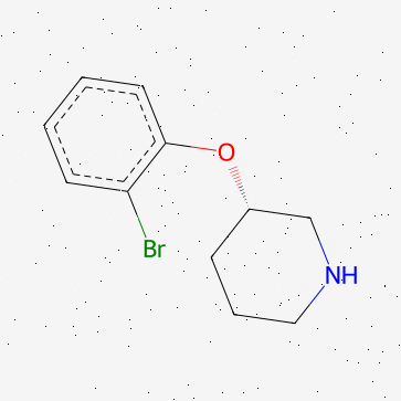 Brc1ccccc1O[C@H]1CCCNC1